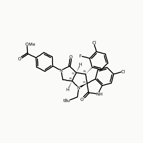 COC(=O)c1ccc(N2C[C@H]3[C@@H](C2=O)[C@H](c2cccc(Cl)c2F)[C@]2(C(=O)Nc4cc(Cl)ccc42)N3CC(C)(C)C)cc1